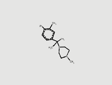 Cc1cc(C(C)(C)N2CCN(C)CC2)ccc1C(C)C